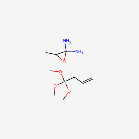 C=CC[Si](OC)(OC)OC.CC1OC1(N)N